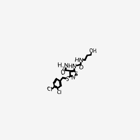 NC(=O)c1c(SCc2ccc(Cl)c(Cl)c2)nsc1NC(=O)NCCCO